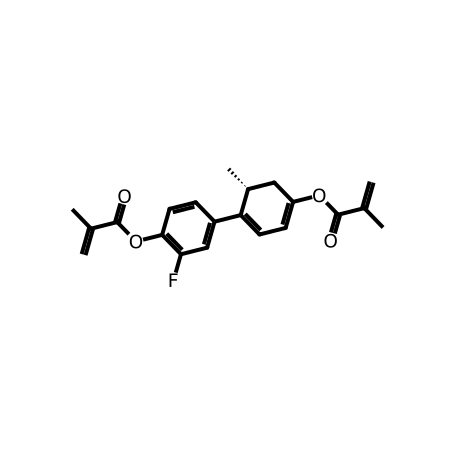 C=C(C)C(=O)OC1=CC=C(c2ccc(OC(=O)C(=C)C)c(F)c2)[C@H](C)C1